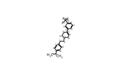 CC(C)c1ccc(CCN2CC=C(c3cccc(C(F)(F)F)c3)CC2)cc1